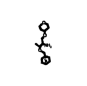 CC(OCC12CCC(CC1)OC2)C(N)COC1CCOCC1